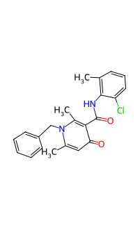 Cc1cccc(Cl)c1NC(=O)c1c(C)n(Cc2ccccc2)c(C)cc1=O